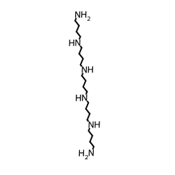 NCCCCNCCCCNCCCCNCCCCNCCCCN